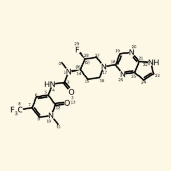 CN(C(=O)Nc1cc(C(F)(F)F)cn(C)c1=O)[C@@H]1CCN(c2cnc3[nH]ccc3n2)C[C@@H]1F